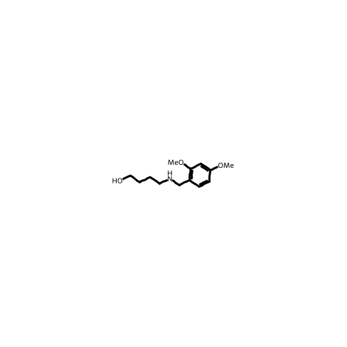 COc1ccc(CNCCCCO)c(OC)c1